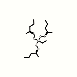 CCCC(C)=NO[Si](CC)(ON=C(C)CCC)ON=C(C)CCC